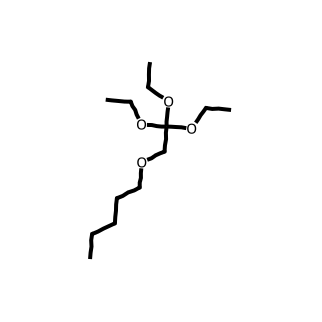 CCCCCOCC(OCC)(OCC)OCC